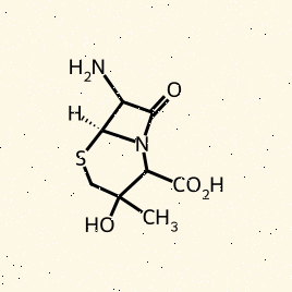 CC1(O)CS[C@H]2C(N)C(=O)N2C1C(=O)O